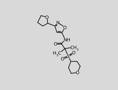 CC(C)(C(=O)Nc1cc(C2CCCO2)no1)S(=O)(=O)C1CCOCC1